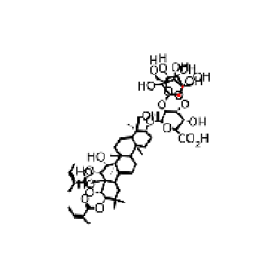 C/C=C(/C)C(=O)O[C@H]1[C@H](OC(=O)/C(C)=C\C)[C@@]2(CO)C(CC1(C)C)C1=CCC3[C@@]4(C)CC[C@H](O[C@@H]5OC(C(=O)O)[C@@H](O)[C@@H](O[C@@H]6O[C@@H](CO)[C@@H](O)C6O)C5O[C@@H]5OC(CO)[C@@H](O)[C@@H](O)C5O)[C@](C)(CO)C4CC[C@@]3(C)[C@]1(C)[C@@H](O)[C@H]2O